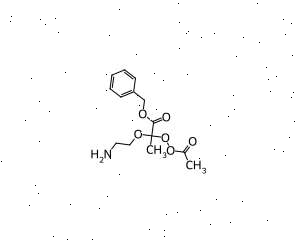 CC(=O)OOC(C)(OCCN)C(=O)OCc1ccccc1